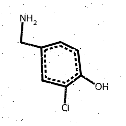 N[CH]c1ccc(O)c(Cl)c1